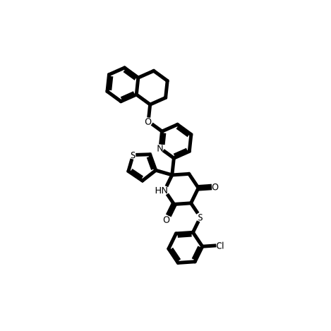 O=C1CC(c2ccsc2)(c2cccc(OC3CCCc4ccccc43)n2)NC(=O)C1Sc1ccccc1Cl